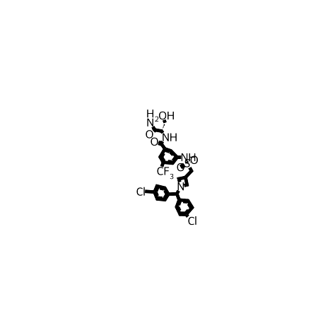 NC(=O)[C@H](CO)NC(=O)c1cc(NS(=O)(=O)CC2CN(C(c3ccc(Cl)cc3)c3ccc(Cl)cc3)C2)cc(C(F)(F)F)c1